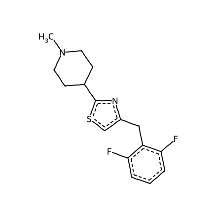 CN1CCC(c2nc(Cc3c(F)cccc3F)cs2)CC1